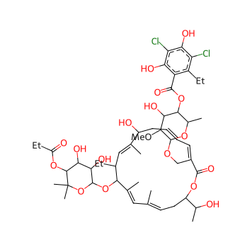 CCC(=O)OC1C(O)C(O)C(OC2/C(C)=C/C(C)=C/CC(C(C)O)OC(=O)/C(COC3OC(C)C(OC(=O)c4c(O)c(Cl)c(O)c(Cl)c4CC)C(O)C3OC)=C/C=C/CC(O)/C(C)=C/C2CC)OC1(C)C